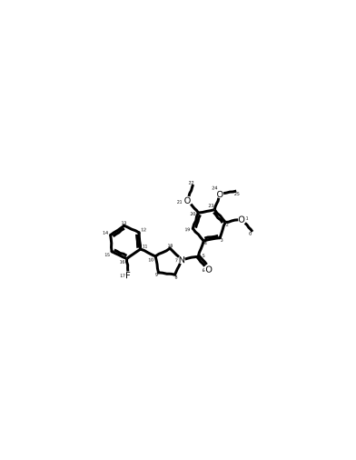 COc1cc(C(=O)N2CC[C](c3ccccc3F)C2)cc(OC)c1OC